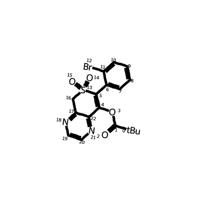 CC(C)(C)C(=O)OC1=C(c2ccccc2Br)S(=O)(=O)Cc2nccnc21